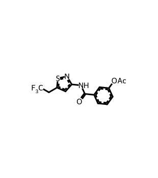 CC(=O)Oc1cccc(C(=O)Nc2cc(CC(F)(F)F)sn2)c1